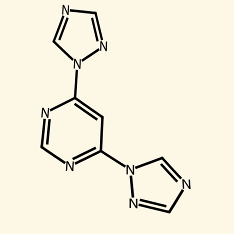 c1nc(-n2cncn2)cc(-n2cncn2)n1